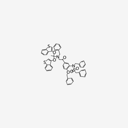 CC(Oc1csc2ccccc12)(Oc1csc2ccccc12)N(CC(=O)c1ccc(OCc2ccccc2)c(N(Cc2ccccc2)S(=O)(=O)Cc2ccccc2)c1)Cc1ccccc1